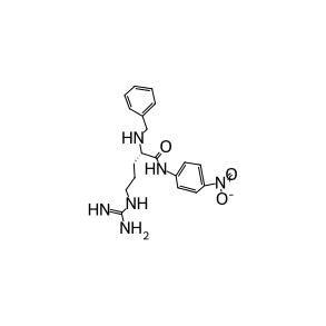 N=C(N)NCCC[C@H](NCc1ccccc1)C(=O)Nc1ccc([N+](=O)[O-])cc1